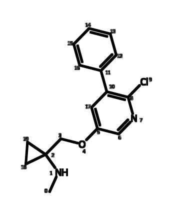 CNC1(COc2cnc(Cl)c(-c3ccccc3)c2)CC1